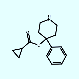 O=C(OC1(c2ccccc2)CCNCC1)C1CC1